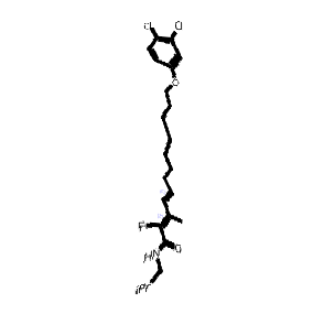 CC(/C=C/CCCCCCCOc1ccc(Cl)c(Cl)c1)=C(/F)C(=O)NCC(C)C